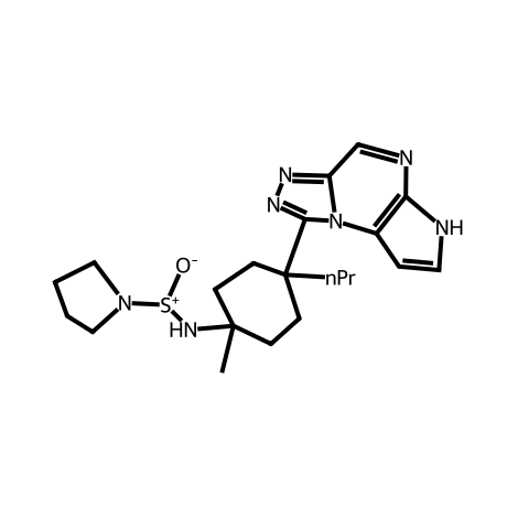 CCCC1(c2nnc3cnc4[nH]ccc4n23)CCC(C)(N[S+]([O-])N2CCCC2)CC1